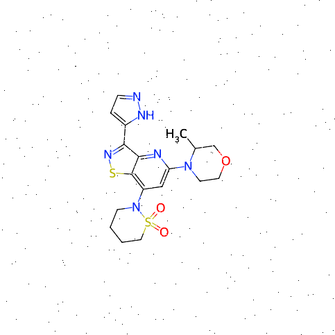 CC1COCCN1c1cc(N2CCCCS2(=O)=O)c2snc(-c3ccn[nH]3)c2n1